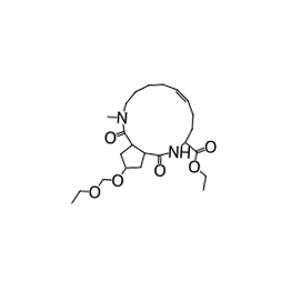 CCOCOC1CC2C(=O)NC(C(=O)OCC)CCC=CCCCCN(C)C(=O)C2C1